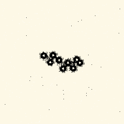 c1ccc(-n2c3ccccc3c3c(-c4ccc(-n5c6ccccc6c6c7c8ccccc8n(-c8cccc9ccccc89)c7ccc65)cc4)cccc32)cc1